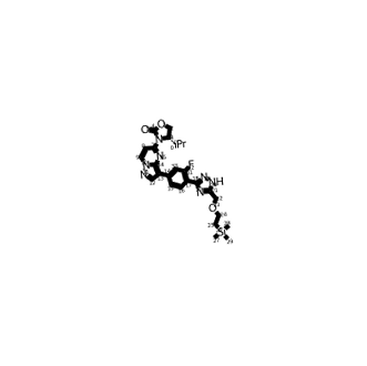 CC(C)[C@H]1COC(=O)N1c1ccn2ncc(-c3ccc(-c4n[nH]c(COCC[Si](C)(C)C)n4)c(F)c3)c2n1